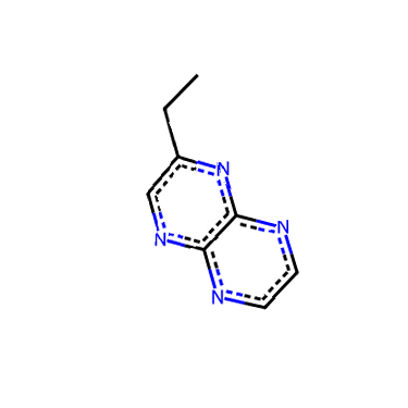 CCc1cnc2nccnc2n1